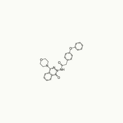 O=C(Cc1ccc(Oc2ccccc2)cc1)Nn1nc(N2CCOCC2)c2ccccc2c1=O